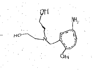 Nc1ccc(O)c(CN(CCO)CCO)c1